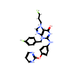 O=c1nc(Nc2ccc(Oc3ncccn3)cc2)n(Cc2ccc(F)cc2)c2ncn(CCCF)c12